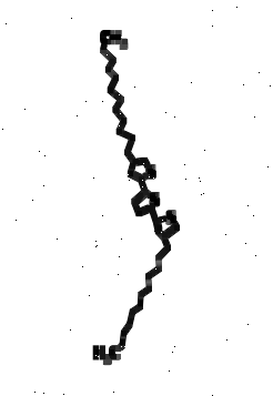 CCCCCCCCCCCCc1csc(-c2ccc(-c3cc(CCCCCCCCCCCC)cs3)s2)c1